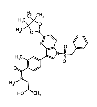 Cc1cc(-c2cn(S(=O)(=O)Cc3ccccc3)c3ncc(B4OC(C)(C)C(C)(C)O4)nc23)ccc1C(=O)N(C)C[C@@H](C)O